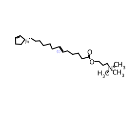 C[N+](C)(C)CCCOC(=O)CCCC/C=C/CCCCCC[C@H]1C=CCC1